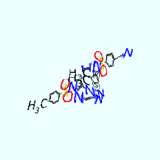 Cc1ccc(S(=O)(=O)n2ccc3c2ncc2nnc([C@H]4C[C@@H](NS(=O)(=O)c5ccc(C#N)cc5)C4(C)C)n23)cc1